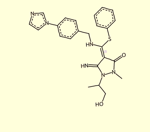 CC(CO)N1C(=N)/C(=C(\NCc2ccc(-n3ccnc3)cc2)Sc2ccccc2)C(=O)N1C